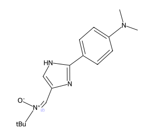 CN(C)c1ccc(-c2nc(/C=[N+](\[O-])C(C)(C)C)c[nH]2)cc1